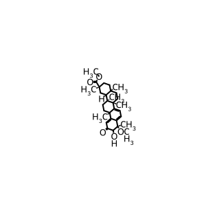 COC(=O)[C@]1(C)CC[C@]2(C)CC[C@]3(C)C4=CC=C5C(=CC(=O)C(O)[C@@]5(C)OC)[C@]4(C)CC[C@@]3(C)[C@@H]2C1